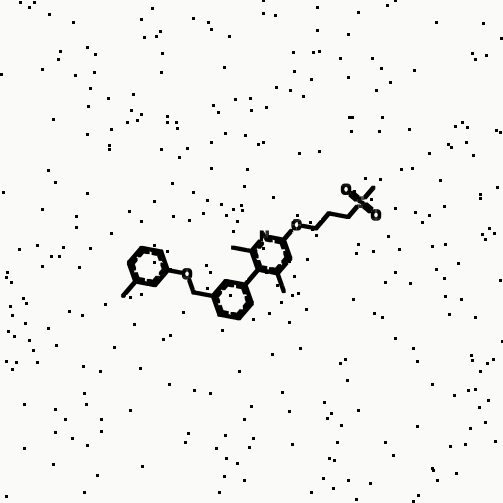 Cc1cccc(OCc2cccc(-c3c(C)cc(OCCCS(C)(=O)=O)nc3C)c2)c1